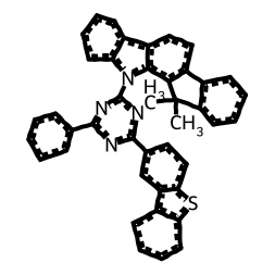 CC1(C)c2ccccc2-c2ccc3c4ccccc4n(-c4nc(-c5ccccc5)nc(-c5ccc6sc7ccccc7c6c5)n4)c3c21